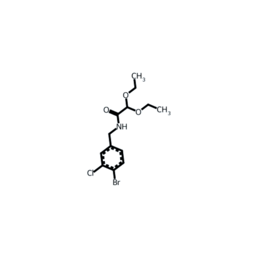 CCOC(OCC)C(=O)NCc1ccc(Br)c(Cl)c1